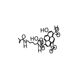 C=C(C)C(=O)NCCCCC(NS(=O)(=O)c1cc([SH](=O)=O)c2ccc3c([SH](=O)=O)cc(O)c4ccc1c2c43)C(=O)O